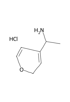 CC(N)C1=CCOC=C1.Cl